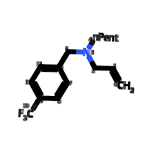 C=CCN(CCCCC)Cc1ccc(C(F)(F)F)cc1